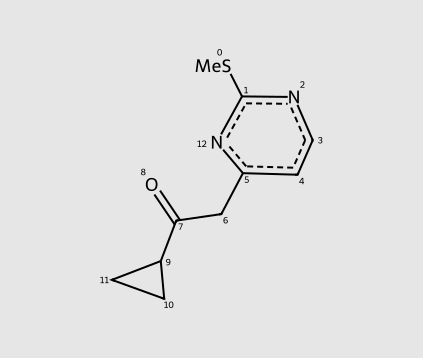 CSc1nccc(CC(=O)C2CC2)n1